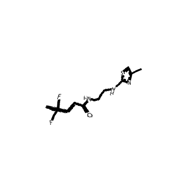 Cc1csc(NCCNC(=O)C=CC(C)(F)F)n1